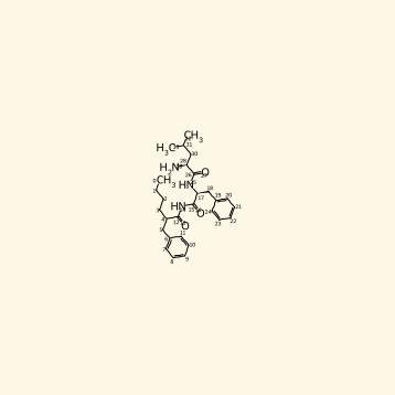 CCCCC(Cc1ccccc1)C(=O)NC(=O)[C@H](Cc1ccccc1)NC(=O)[C@@H](N)CC(C)C